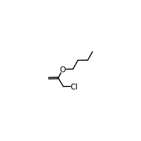 C=C(CCl)OCCCC